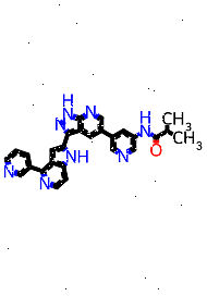 CC(C)C(=O)Nc1cncc(-c2cnc3[nH]nc(-c4cc5c(-c6cccnc6)nccc5[nH]4)c3c2)c1